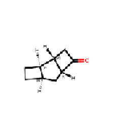 O=C1C[C@H]2[C@@H]3CC[C@@H]3C[C@@H]12